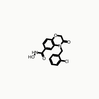 O=C(NO)c1ccc2c(c1)N(Cc1ccccc1Cl)C(=O)CO2